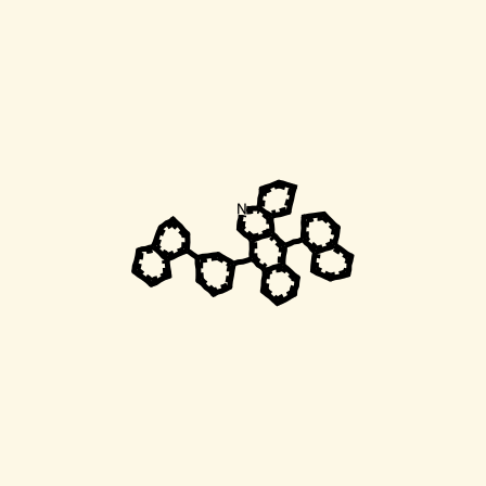 c1cc(-c2cccc3ccccc23)cc(-c2c3ccccc3c(-c3cccc4ccccc34)c3c2cnc2ccccc23)c1